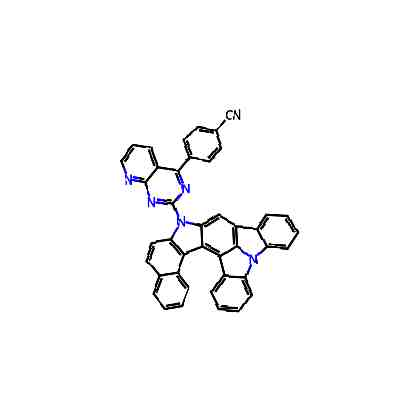 N#Cc1ccc(-c2nc(-n3c4ccc5ccccc5c4c4c5c6ccccc6n6c7ccccc7c(cc43)c56)nc3ncccc23)cc1